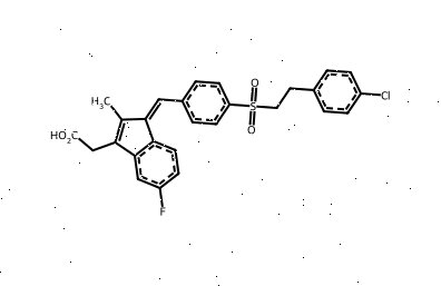 CC1=C(CC(=O)O)c2cc(F)ccc2/C1=C\c1ccc(S(=O)(=O)CCc2ccc(Cl)cc2)cc1